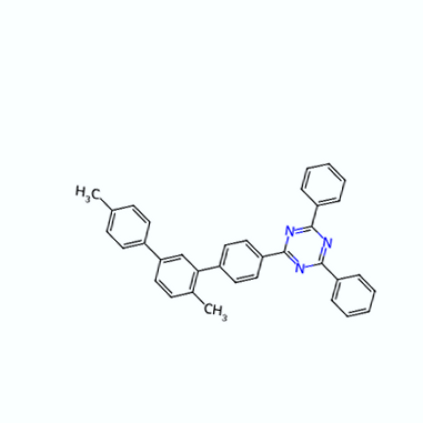 Cc1ccc(-c2ccc(C)c(-c3ccc(-c4nc(-c5ccccc5)nc(-c5ccccc5)n4)cc3)c2)cc1